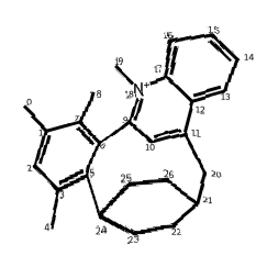 Cc1cc(C)c2c(c1C)-c1cc(c3ccccc3[n+]1C)CC1CCC2CC1